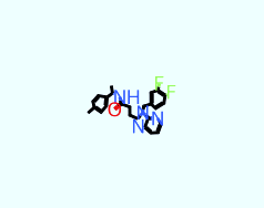 Cc1ccc(C(C)NC(=O)CCc2nc3cccnc3n2Cc2ccc(F)c(F)c2)cc1